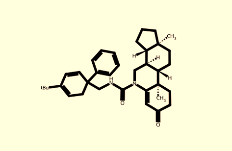 CC(C)(C)C1=CCC(CNC(=O)N2C[C@H]3[C@@H]4CCC[C@@]4(C)CC[C@@H]3[C@@]3(C)CCC(=O)C=C23)(c2ccccc2)C=C1